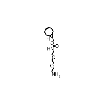 NCCOCCOCCNC(=O)OC[C@@H]1C2CC/C=C\CC[C@@H]21